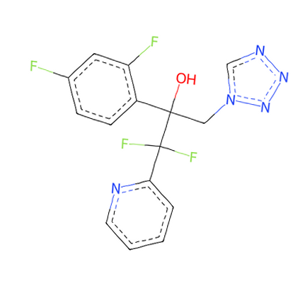 OC(Cn1cnnn1)(c1ccc(F)cc1F)C(F)(F)c1ccccn1